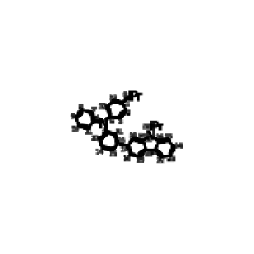 CC(C)c1ccc(N(c2ccccc2)c2cccc(-c3ccc4c5ccccc5n(C(C)C)c4c3)c2)cc1